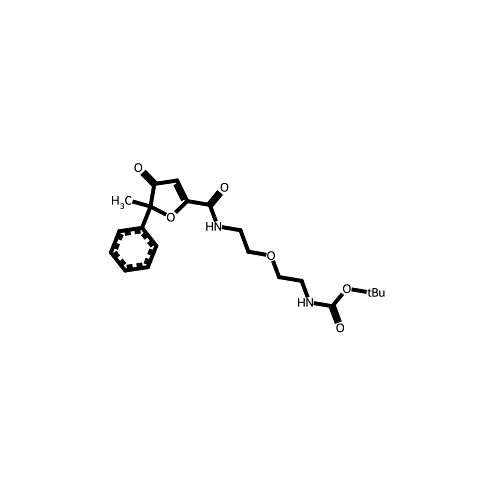 CC(C)(C)OC(=O)NCCOCCNC(=O)C1=CC(=O)C(C)(c2ccccc2)O1